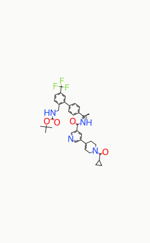 C[C@@H](NC(=O)c1cncc(C2=CCN(C(=O)C3CC3)CC2)c1)c1ccc(-c2cc(C(F)(F)F)ccc2CNC(=O)OC(C)(C)C)cc1